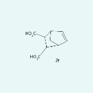 O=C(O)C1C2C=CC(C2)C1C(=O)O.[Zr]